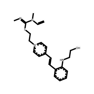 C=CN(C)/C(=N/C)SCC[n+]1ccc(/C=C/c2ccccc2NCCO)cc1